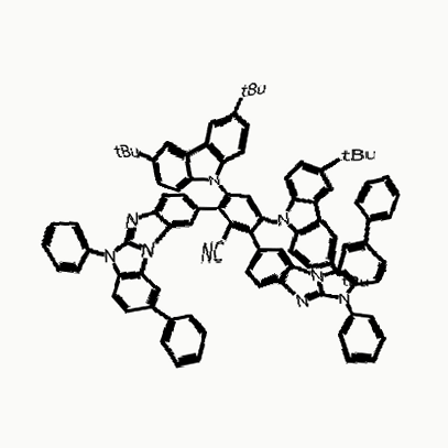 CC(C)(C)c1ccc2c(c1)c1cc(C(C)(C)C)ccc1n2-c1cc(-n2c3ccc(C(C)(C)C)cc3c3cc(C(C)(C)C)ccc32)c(-c2ccc3nc4n(-c5ccccc5)c5ccc(-c6ccccc6)cc5n4c3c2)c(C#N)c1-c1ccc2nc3n(-c4ccccc4)c4ccc(-c5ccccc5)cc4n3c2c1